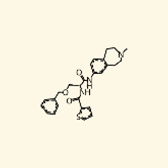 CN1CCc2ccc(NC(=O)[C@H](COCc3ccccc3)NC(=O)c3cccs3)cc2CC1